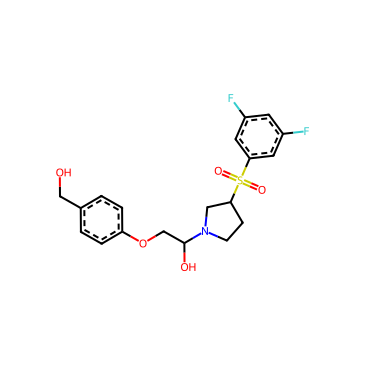 O=S(=O)(c1cc(F)cc(F)c1)C1CCN(C(O)COc2ccc(CO)cc2)C1